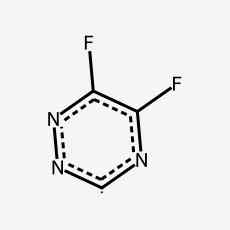 Fc1n[c]nnc1F